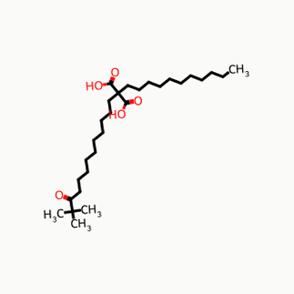 CCCCCCCCCCCC(CCCCCCCCCCC(=O)C(C)(C)C)(C(=O)O)C(=O)O